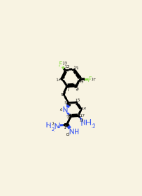 N=C(N)c1nc(Cc2cc(F)cc(F)c2)ccc1N